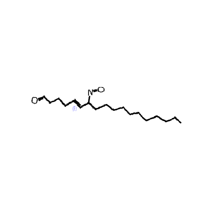 CCCCCCCCCCCC(/C=C/CCCC=O)N=O